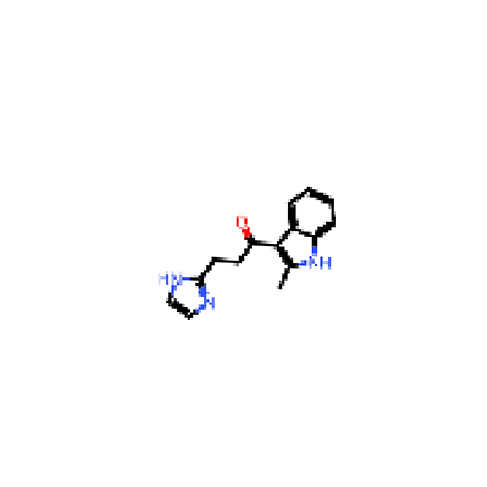 Cc1[nH]c2ccccc2c1C(=O)CCc1ncc[nH]1